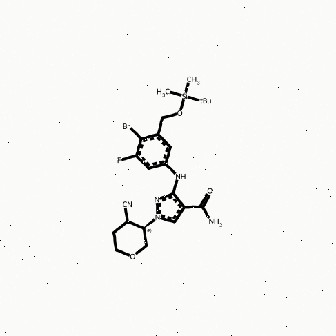 CC(C)(C)[Si](C)(C)OCc1cc(Nc2nn([C@H]3COCCC3C#N)cc2C(N)=O)cc(F)c1Br